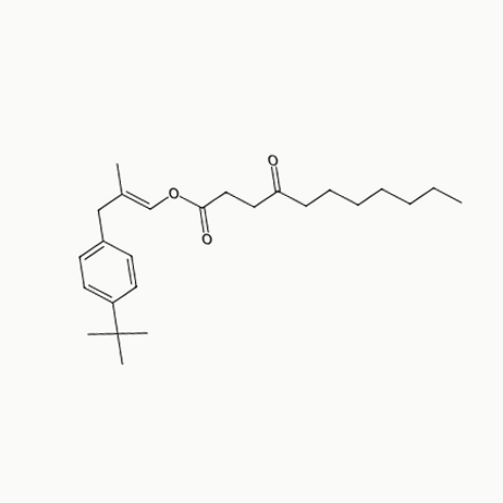 CCCCCCCC(=O)CCC(=O)OC=C(C)Cc1ccc(C(C)(C)C)cc1